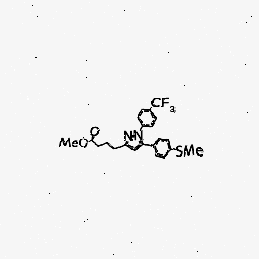 COC(=O)CCCc1cc(-c2ccc(SC)cc2)n(-c2ccc(C(F)(F)F)cc2)n1